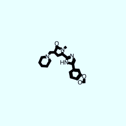 CN1C(=O)C(CN2CCCCC2)CC1c1ncc(-c2ccc3c(c2)OCO3)[nH]1